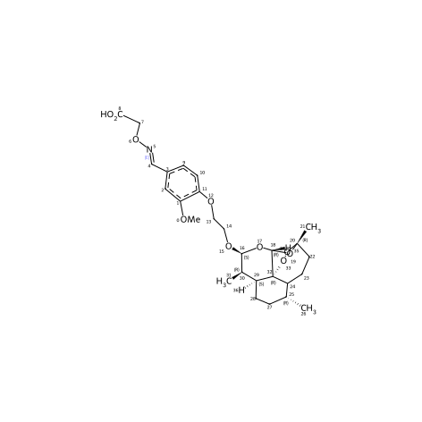 COc1cc(/C=N/OCC(=O)O)ccc1OCCO[C@H]1O[C@@H]2O[C@@]3(C)CCC4[C@H](C)CC[C@@H]([C@H]1C)[C@]42OO3